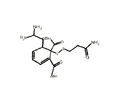 CCCCC(=O)C1=CC=CC(CC(N)N)C1(SSCCC(N)=O)C(=O)CCCC